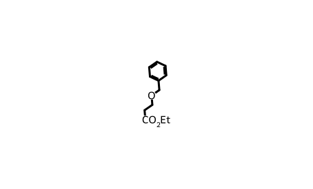 CCOC(=O)CCOCc1ccccc1